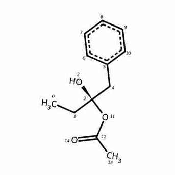 CC[C@](O)(Cc1ccccc1)OC(C)=O